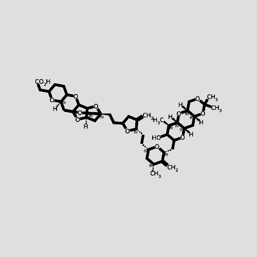 C=C1CC(CC[C@@]23C[C@H]4OC5C(OC6CCC(CC(=O)O)O[C@@H]6C5O2)C4O3)O[C@H]1CC[C@H]1C[C@@H](C)C(=C)[C@@H](CC2O[C@H]3C[C@H]4OC(C)(C)OC[C@H]4O[C@H]3[C@H](C)C2O)O1